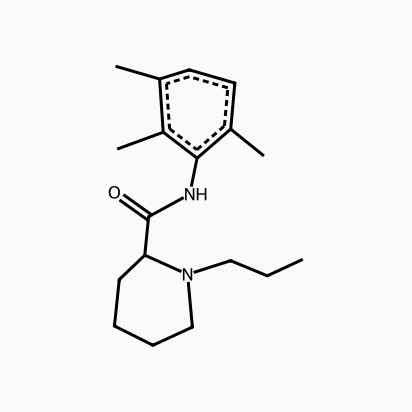 CCCN1CCCCC1C(=O)Nc1c(C)ccc(C)c1C